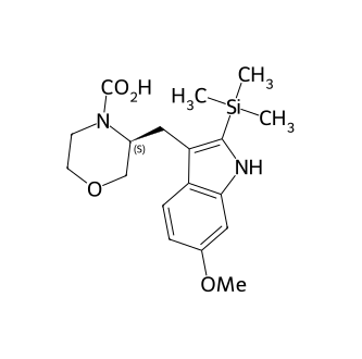 COc1ccc2c(C[C@H]3COCCN3C(=O)O)c([Si](C)(C)C)[nH]c2c1